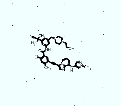 Cc1cc(Cl)c(C(=O)Nc2cc(CN3CCN(CCO)CC3)cc(C(C)(C)C#N)c2)cc1C#Cc1cnc2c(Nc3cnn(C)c3)cccn12